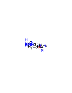 Cc1c(Nc2nccc3cc(C4=NCCN4)cnc23)cccc1-c1cccc(-c2nc3cc(CN4CCCC4)cc(C#N)c3o2)c1C